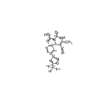 CC1=C(C#N)C(c2cccc(-c3noc(C(F)(F)F)n3)c2)N(C(=O)O)C(=O)N1